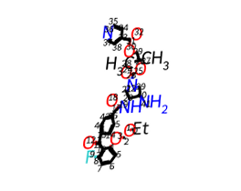 CCOCOc1cccc(F)c1C(=O)c1ccc(C(=O)N[C@@H]2CN(C(=O)OC(C)(C)COC(=O)c3ccncc3)C[C@H]2N)cc1